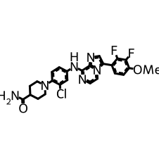 COc1ccc(-c2cnc3c(Nc4ccc(N5CCC(C(N)=O)CC5)c(Cl)c4)nccn23)c(F)c1F